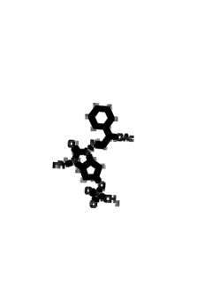 CCCN1C(=O)N(N=CC(OC(C)=O)C2CCCCC2)C2CC(OS(C)(=O)=O)CC21